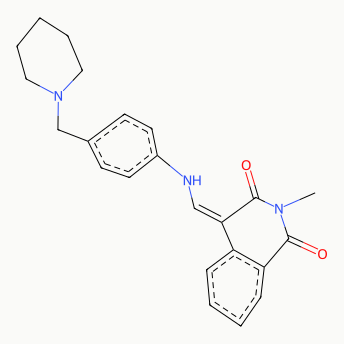 CN1C(=O)C(=CNc2ccc(CN3CCCCC3)cc2)c2ccccc2C1=O